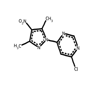 Cc1nn(-c2cc(Cl)ncn2)c(C)c1[N+](=O)[O-]